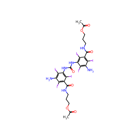 CC(=O)OCCCNC(=O)c1c(I)c(N)c(I)c(NC(=O)Nc2c(I)c(N)c(I)c(C(=O)NCCCOC(C)=O)c2I)c1I